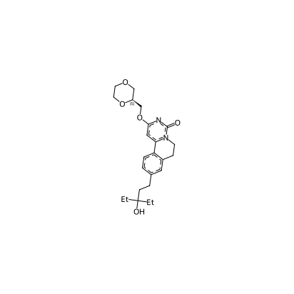 CCC(O)(CC)CCc1ccc2c(c1)CCn1c-2cc(OC[C@@H]2COCCO2)nc1=O